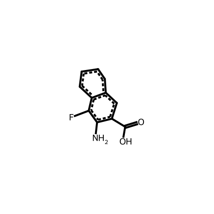 Nc1c(C(=O)O)cc2ccccc2c1F